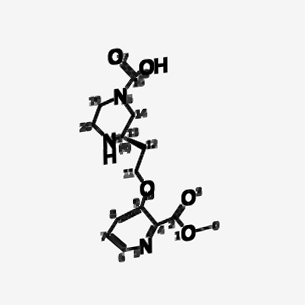 COC(=O)c1ncccc1OCC[C@@H]1CN(C(=O)O)CCN1